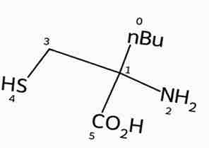 CCCCC(N)(CS)C(=O)O